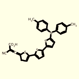 Cc1ccc(N(c2ccc(C)cc2)c2ccc(-c3ccc(C4=CCC(=C=C(C#N)C(=O)O)S4)s3)s2)cc1